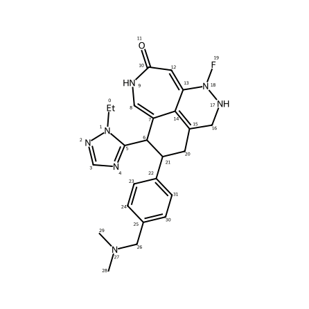 CCn1ncnc1C1C2=CNC(=O)C=C3C2=C(CNN3F)CC1c1ccc(CN(C)C)cc1